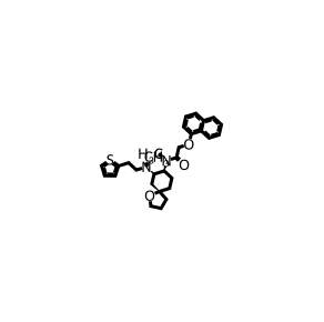 CN(CCc1cccs1)[C@H]1C[C@]2(CCCO2)CC[C@@H]1N(C)C(=O)COc1cccc2ccccc12